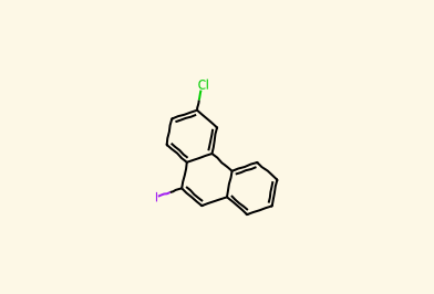 Clc1ccc2c(I)cc3ccccc3c2c1